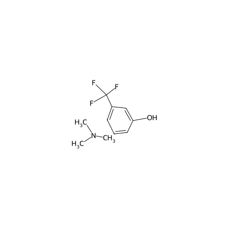 CN(C)C.Oc1cccc(C(F)(F)F)c1